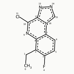 CCc1c(F)ccc2c1nc(Cl)c1nncn12